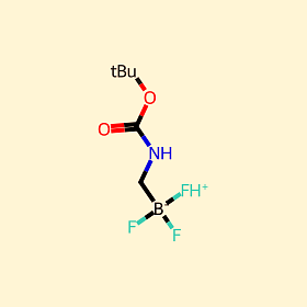 CC(C)(C)OC(=O)NC[B-](F)(F)[FH+]